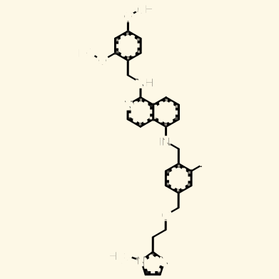 COc1ccc(CNc2nccc3c(NCc4ccc(COCCc5nccn5C)cc4F)cccc23)c(OC)c1